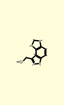 O=C(O)Cc1noc2ccc3c(c12)OCO3